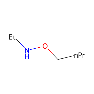 CCCCONCC